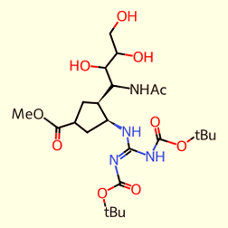 COC(=O)C1C[C@H](NC(=NC(=O)OC(C)(C)C)NC(=O)OC(C)(C)C)[C@H](C(NC(C)=O)C(O)C(O)CO)C1